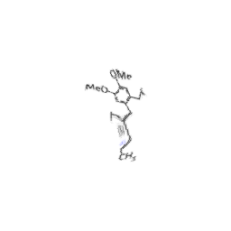 C/C=C/[C@@H](I)Cc1cc(OC)c(OC)cc1CI